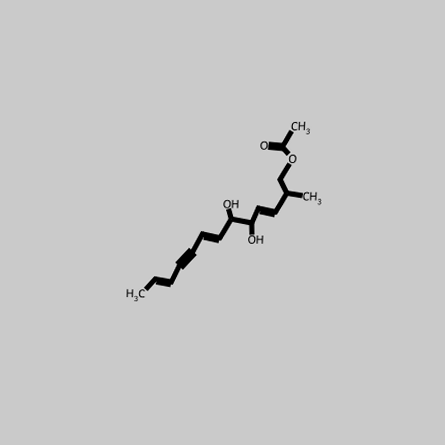 CC=CC#CC=CC(O)C(O)C=CC(C)COC(C)=O